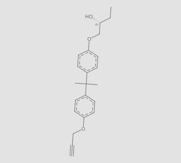 C#CCOc1ccc(C(C)(C)c2ccc(OC[C@H](O)CC)cc2)cc1